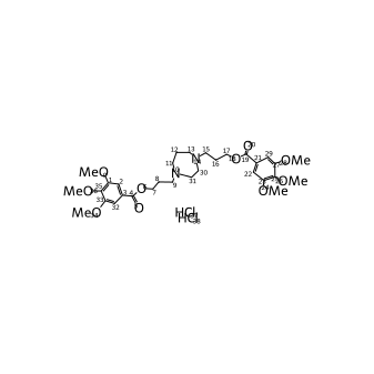 COc1cc(C(=O)OCCCN2CCCN(CCCOC(=O)c3cc(OC)c(OC)c(OC)c3)CC2)cc(OC)c1OC.Cl.Cl